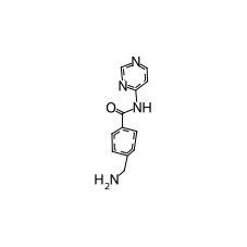 NCc1ccc(C(=O)Nc2ccncn2)cc1